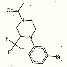 CC(=O)N1CCN(c2cccc(Br)c2)C(C(F)(F)F)C1